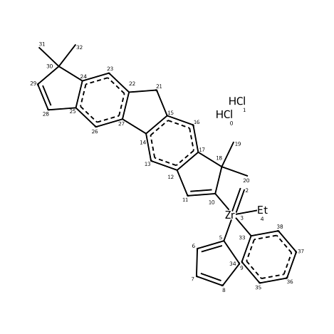 Cl.Cl.[CH2]=[Zr]([CH2]C)([C]1=CC=CC1)([C]1=Cc2cc3c(cc2C1(C)C)Cc1cc2c(cc1-3)C=CC2(C)C)[c]1ccccc1